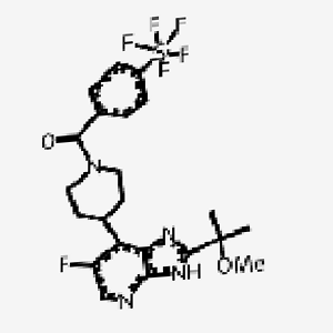 COC(C)(C)c1nc2c(C3CCN(C(=O)c4ccc(S(F)(F)(F)(F)F)cc4)CC3)c(F)cnc2[nH]1